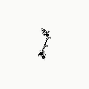 O=C1CCC(N2C(=O)c3cc(NCCCCCCCNCCCONC(=O)c4ccc(F)c(F)c4Nc4ccc(I)cc4F)ccc3C2O)C(=O)N1